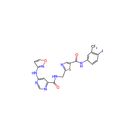 O=C(NCc1ncc(C(=O)Nc2ccc(I)c(C(F)(F)F)c2)s1)c1cc(Nc2ccon2)ncn1